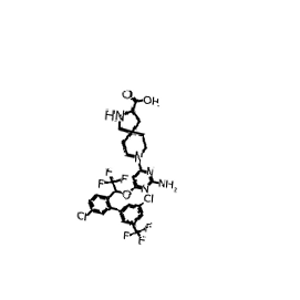 Nc1nc(OC(c2ccc(Cl)cc2-c2cc(Cl)cc(C(F)(F)F)c2)C(F)(F)F)cc(N2CCC3(CC2)CNC(C(=O)O)C3)n1